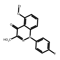 CCOc1cccc2c1c(=O)c(C(=O)O)nn2-c1ccc(F)cc1